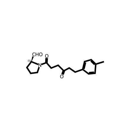 Cc1ccc(CCC(=O)CCC(=O)N2CCC[C@H]2C=O)cc1